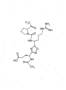 CC(=O)N[C@@H](CCC(=O)O)c1noc(C(CCCNC(=N)N)NC(=O)N2CCCC2C(C)=O)n1